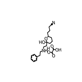 N#CCCCC1CCCC(O)(CCNCCc2ccccc2)O1.O=C(O)C(=O)O